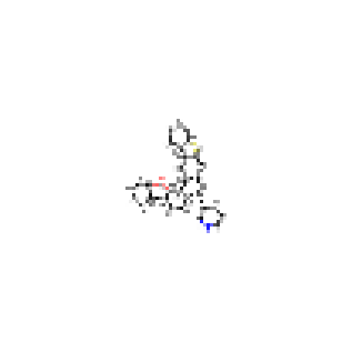 c1cncc(-c2cc3cc4sc5ccccc5c4cc3c3c2ccc2c4ccccc4oc23)c1